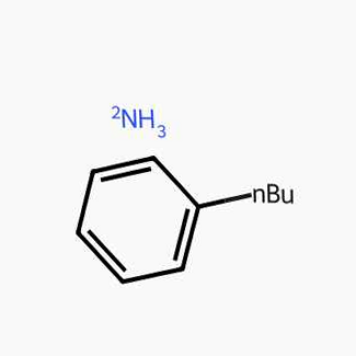 CCCCc1ccccc1.[2NH3]